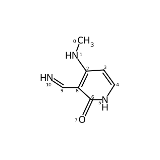 CNc1cc[nH]c(=O)c1C=N